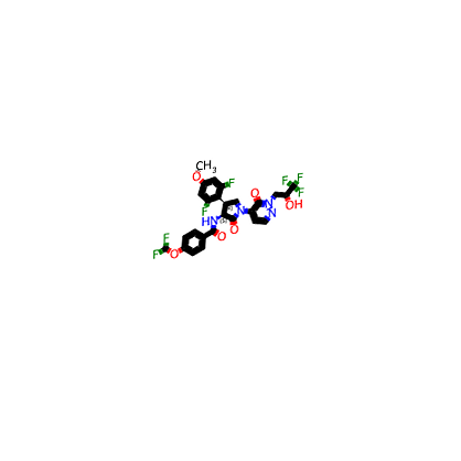 COc1cc(F)c([C@@H]2CN(c3ccnn(CC(O)C(F)(F)F)c3=O)C(=O)[C@H]2NC(=O)c2ccc(OC(F)F)cc2)c(F)c1